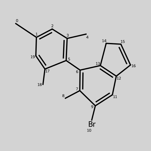 Cc1cc(C)c(-c2c(C)c(Br)cc3c2CC=C3)c(C)c1